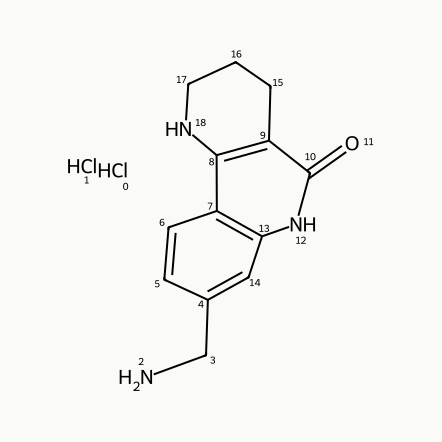 Cl.Cl.NCc1ccc2c3c(c(=O)[nH]c2c1)CCCN3